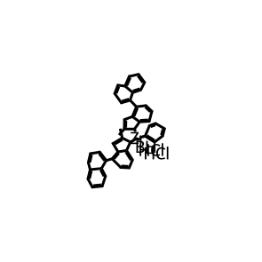 Cl.Cl.[BH]=[Zr]([c]1ccccc1)([CH]1C(C)=Cc2c(-c3cccc4ccccc34)cccc21)[CH]1C(C)=Cc2c(-c3cccc4ccccc34)cccc21